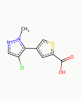 Cn1ncc(Cl)c1-c1csc(C(=O)O)c1